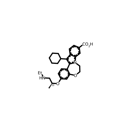 CCNC[C@H](C)Oc1ccc2c(c1)OCCn1c-2c(C2CCCCC2)c2ccc(C(=O)O)cc21